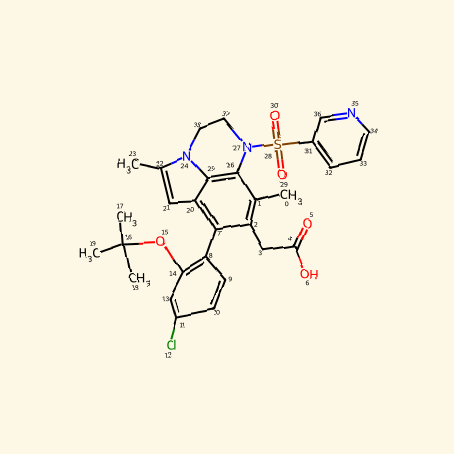 Cc1c(CC(=O)O)c(-c2ccc(Cl)cc2OC(C)(C)C)c2cc(C)n3c2c1N(S(=O)(=O)c1cccnc1)CC3